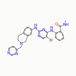 CNC(=O)c1ccccc1Nc1nc(Nc2ccc3c(c2)CN(Cc2ccncn2)CC3)ncc1Br